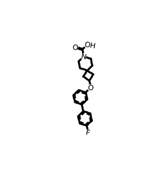 O=C(O)N1CCC2(CC1)CC(Oc1cccc(-c3ccc(F)cc3)c1)C2